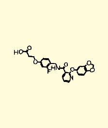 O=C(O)CCOc1ccc(CNC(=O)c2cccnc2Oc2ccc3c(c2)OCO3)c(F)c1